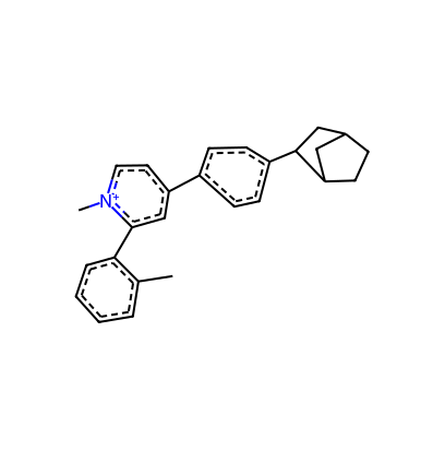 Cc1ccccc1-c1cc(-c2ccc(C3CC4CCC3C4)cc2)cc[n+]1C